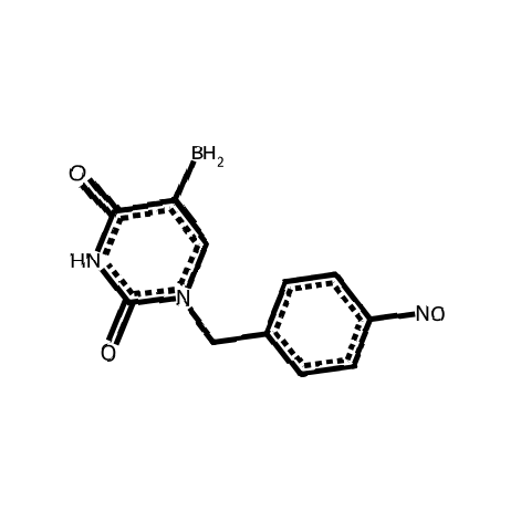 Bc1cn(Cc2ccc(N=O)cc2)c(=O)[nH]c1=O